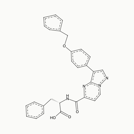 O=C(N[C@@H](Cc1ccccc1)C(=O)O)c1ccn2ncc(-c3ccc(OCc4ccccc4)cc3)c2n1